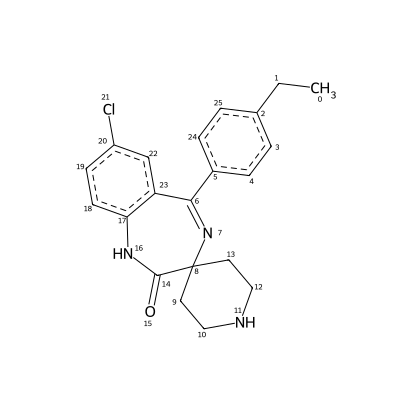 CCc1ccc(C2=NC3(CCNCC3)C(=O)Nc3ccc(Cl)cc32)cc1